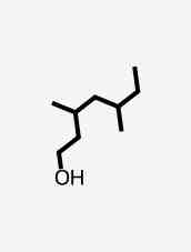 CCC(C)CC(C)CCO